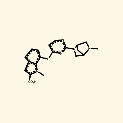 CN1CC2CC1CN2c1nccc(Oc2cccc3cc(C(=O)O)n(C)c23)n1